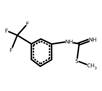 CSC(=N)Nc1cccc(C(F)(F)F)c1